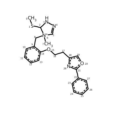 CSC1NN=C[N+]1(C)Cc1ccccc1OCCc1coc(-c2ccccc2)n1